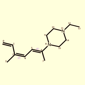 C=C/C(C)=C\C=C(/C)N1CCN(CC)CC1